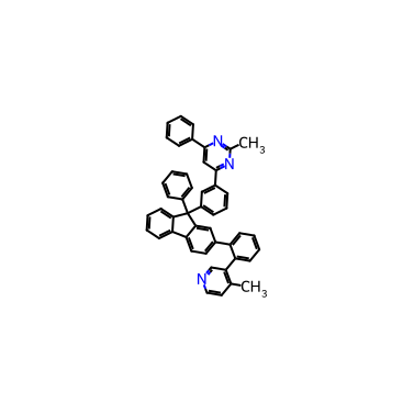 Cc1nc(-c2ccccc2)cc(-c2cccc(C3(c4ccccc4)c4ccccc4-c4ccc(-c5ccccc5-c5cnccc5C)cc43)c2)n1